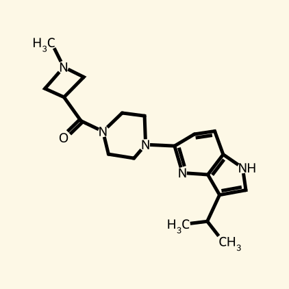 CC(C)c1c[nH]c2ccc(N3CCN(C(=O)C4CN(C)C4)CC3)nc12